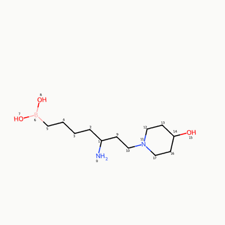 NC(CCCCB(O)O)CCN1CCC(O)CC1